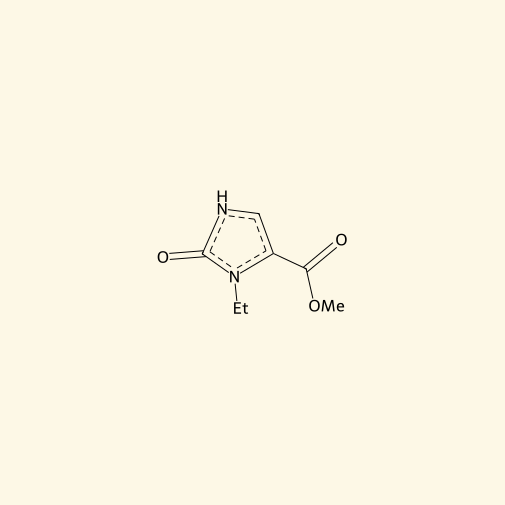 CCn1c(C(=O)OC)c[nH]c1=O